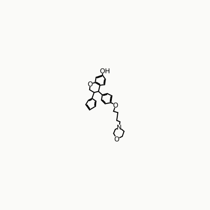 Oc1ccc2c(c1)OCC(c1ccccc1)C2c1ccc(OCCCCN2CCOCC2)cc1